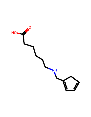 O=C(O)CCCCCNCC1=CC=CC1